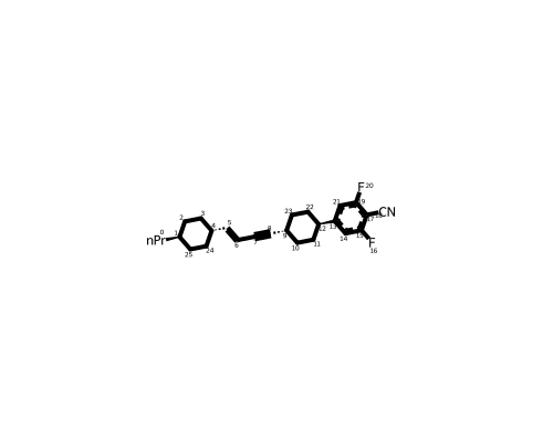 CCC[C@H]1CC[C@H](C=CC#C[C@H]2CC[C@H](c3cc(F)c(C#N)c(F)c3)CC2)CC1